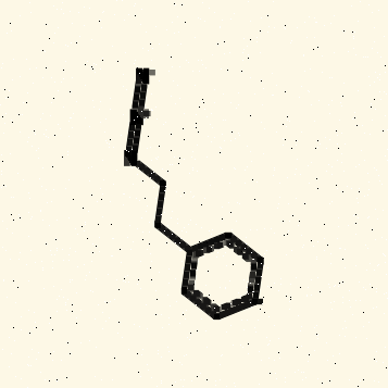 [N-]=[N+]=NCCc1cc[c]cc1